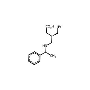 CC(C)C[C@@H](CN[C@@H](C)c1ccccc1)CC(=O)O